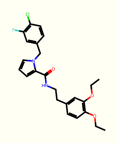 CCOc1ccc(CCNC(=O)c2cccn2Cc2ccc(Cl)c(F)c2)cc1OCC